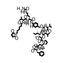 CC[C@H](C)[C@@H](C(CC(=O)N1CCC[C@H]1[C@H](OC)[C@@H](C)C(=O)N[C@@H](Cc1ccccc1)C(=O)O)OC)N(C)C(=O)[C@@H](NC(=O)[C@H](C(C)C)N(C)C(=O)OCc1ccc(NC(=O)[C@H](CCCNC(N)=O)NC(=O)C(NC(=O)CCCCCN2C(=O)C=CC2=O)C(C)C)cc1)C(C)C